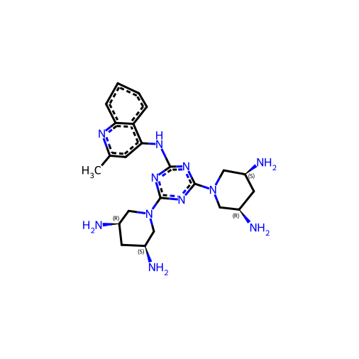 Cc1cc(Nc2nc(N3C[C@H](N)C[C@H](N)C3)nc(N3C[C@H](N)C[C@H](N)C3)n2)c2ccccc2n1